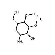 CO[C@H]1[C@H](OC)[C@@H](O)C(N)O[C@@H]1CO